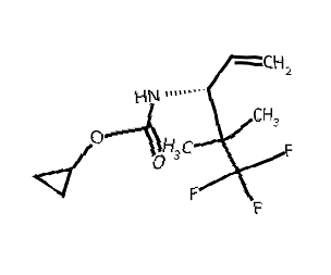 C=C[C@@H](NC(=O)OC1CC1)C(C)(C)C(F)(F)F